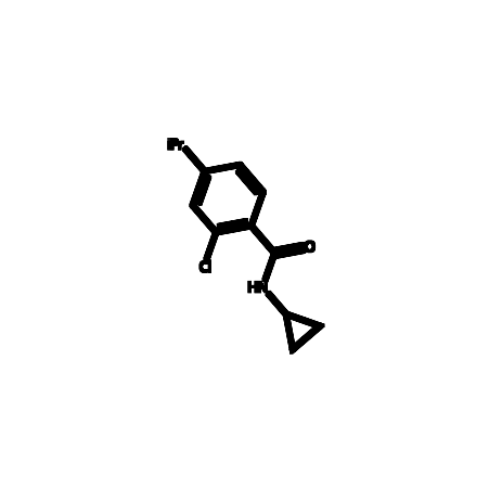 CC(C)c1ccc(C(=O)NC2CC2)c(Cl)c1